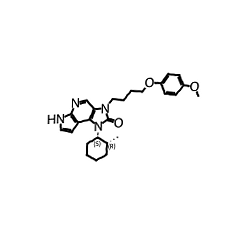 COc1ccc(OCCCCn2c(=O)n([C@H]3CCCC[C@H]3C)c3c4cc[nH]c4ncc32)cc1